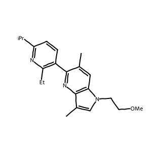 CCc1nc(C(C)C)ccc1-c1nc2c(C)cn(CCOC)c2cc1C